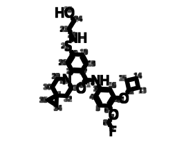 O=C(Nc1ccc(OCF)c(OC2CCC2)c1)c1ccc(SNCCO)cc1N1CCC2(CC1)CC2